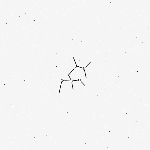 CO[Si](C)(CC(C)N(C)C)OC